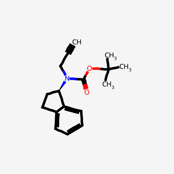 C#CCN(C(=O)OC(C)(C)C)[C@@H]1CCc2ccccc21